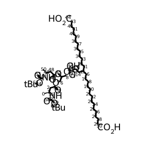 C[C@@H](CC(=O)OCC(COP(=O)(O)OCC(CCCCCCCCCCCCCCC(=O)O)CCCCCCCCCCCCCC(=O)O)OC(=O)C[C@H](C)NC(=O)OC(C)(C)C)NC(=O)OC(C)(C)C